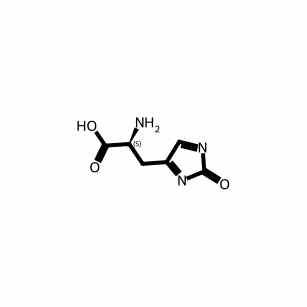 N[C@@H](CC1=NC(=O)N=C1)C(=O)O